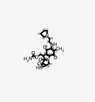 COC12C(COC(N)=O)C3=C(C(=O)C(C)=C(NCCN4CCCC4)C3=O)N1CC1NC12